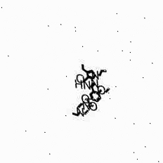 CCCn1cc(CC)c2c(=O)[nH]c(-c3cc(S(=O)(=O)N4CCN(CC)CC4)ccc3OCC)nc21